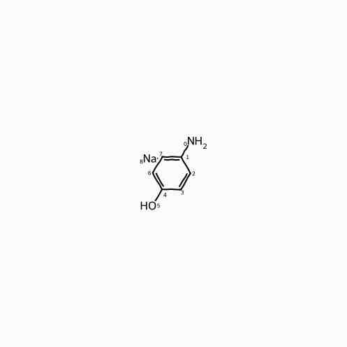 Nc1ccc(O)cc1.[Na]